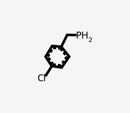 PCc1ccc(Cl)cc1